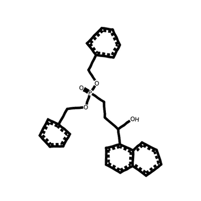 O=P(CCC(O)c1cccc2ccccc12)(OCc1ccccc1)OCc1ccccc1